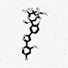 CN=S1(=O)C[C@@](CF)(c2cc(-c3cc(-c4ncc(Br)cc4C)no3)ccc2F)N=C(N)C1(C)C